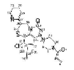 C=CC(=O)N1CCN(c2nc(=O)n3c4c(c(Cl)c(C(F)(F)F)cc24)SC[C@@H](c2ccccn2)C3)CC1